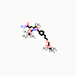 C[C@@H](OCc1ccc(CCCOCC(=O)OC(C)(C)C)cc1)[C@H](CCC(N)=O)NC(=O)OC(C)(C)C